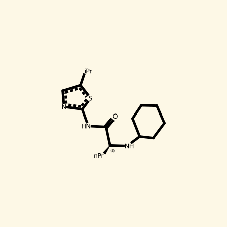 CCC[C@H](NC1CCCCC1)C(=O)Nc1ncc(C(C)C)s1